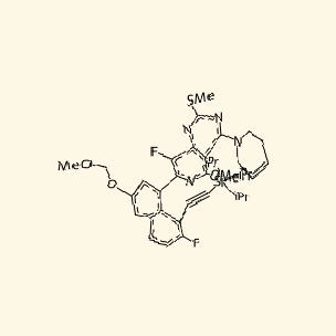 COCOc1cc(-c2nc(OC)c3c(N4CC=CCC4)nc(SC)nc3c2F)c2c(C#C[Si](C(C)C)(C(C)C)C(C)C)c(F)ccc2c1